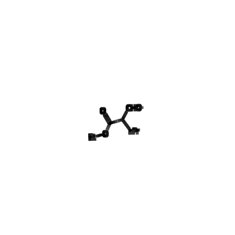 CCCC([C]=O)C(=O)OCC